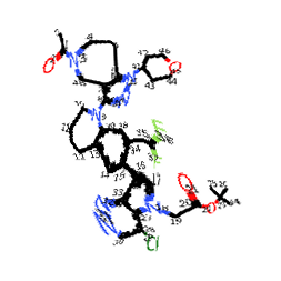 CC(=O)N1CCc2c(c(N3CCCc4cc(-c5cn(CC(=O)OC(C)(C)C)c6c(Cl)cnnc56)c(C(F)F)cc43)nn2C2CCOCC2)C1